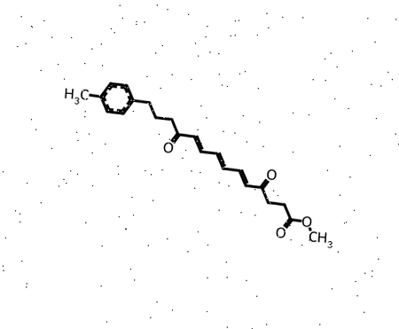 COC(=O)CCC(=O)/C=C/C=C/C=C/C(=O)CCCc1ccc(C)cc1